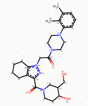 Cc1cccc(N2CCN(C(=O)Cn3nc(C(=O)N4CCC(O)C(CO)C4)c4c3CCCC4)CC2)c1C